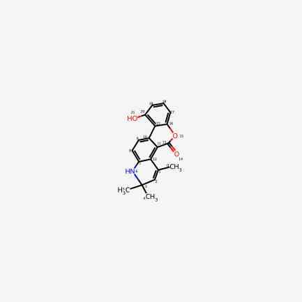 CC1=CC(C)(C)Nc2ccc3c(c21)c(=O)oc1cccc(O)c13